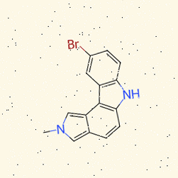 Cn1cc2ccc3[nH]c4ccc(Br)cc4c3c2c1